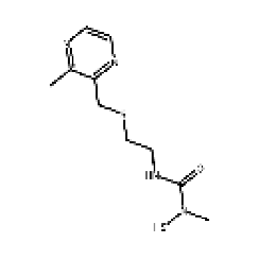 Cc1nccnc1CSCCNC(=O)N(C)S